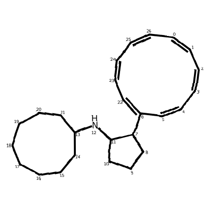 C1=C\C=C/C=C\C(C2CCCC2NC2CCCCCCCC2)=C/C=C\C=C/1